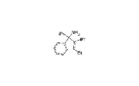 CCC=C(C(C)C)C(N)(c1ccccc1)C(C)C